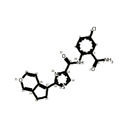 NC(=O)c1cc(Cl)ccc1NC(=O)c1csc(C2=C3C=COC=C3CC2)n1